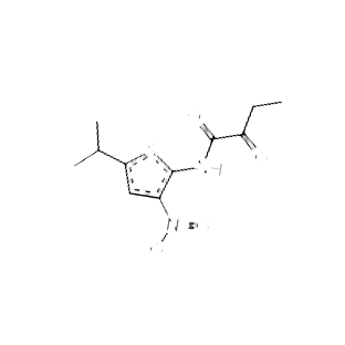 CCC(=O)C(=O)Nc1sc(C(C)C)cc1[N+](=O)[O-]